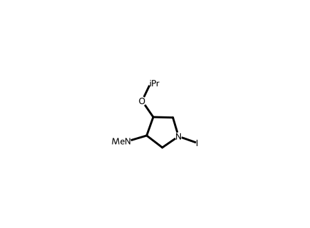 CNC1CN(I)CC1OC(C)C